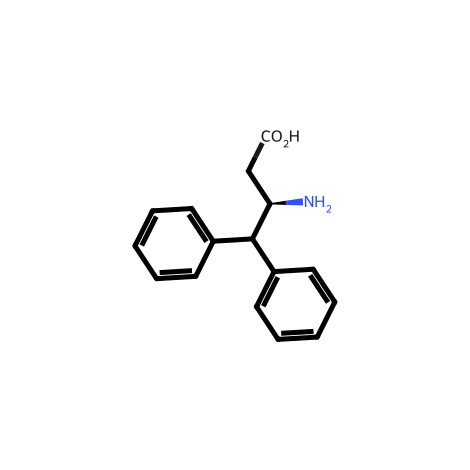 N[C@H](CC(=O)O)C(c1ccccc1)c1ccccc1